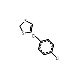 C1=CSCS1.Clc1ccc(Cl)cc1